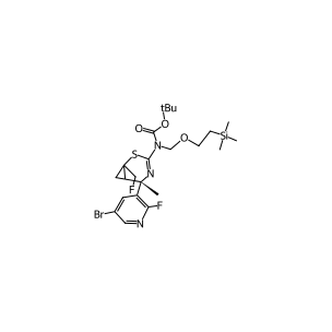 CC(C)(C)OC(=O)N(COCC[Si](C)(C)C)C1=N[C@](C)(c2cc(Br)cnc2F)C2CC2(CF)S1